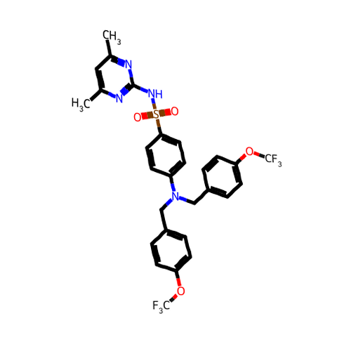 Cc1cc(C)nc(NS(=O)(=O)c2ccc(N(Cc3ccc(OC(F)(F)F)cc3)Cc3ccc(OC(F)(F)F)cc3)cc2)n1